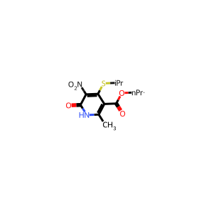 CC[CH]OC(=O)c1c(C)[nH]c(=O)c([N+](=O)[O-])c1SC(C)C